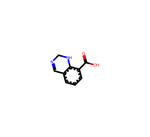 O=C(O)c1cccc2c1NCN=C2